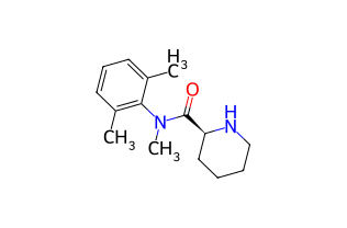 Cc1cccc(C)c1N(C)C(=O)[C@@H]1CCCCN1